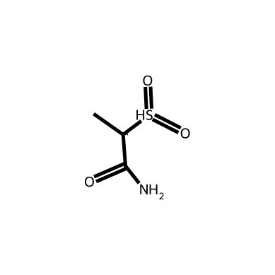 C[C](C(N)=O)[SH](=O)=O